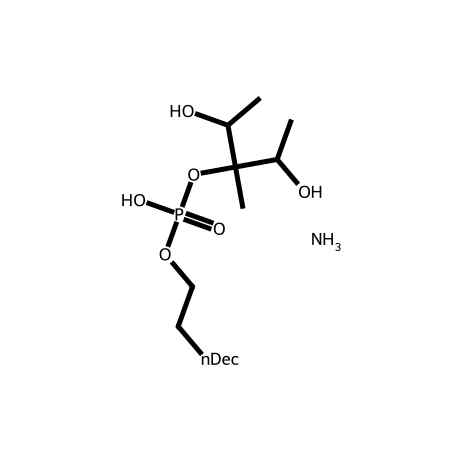 CCCCCCCCCCCCOP(=O)(O)OC(C)(C(C)O)C(C)O.N